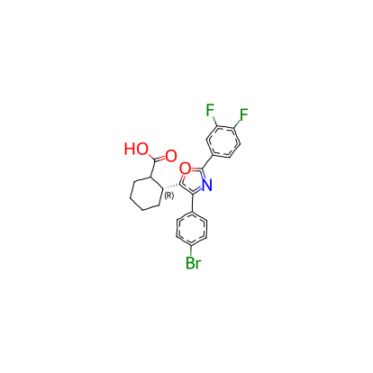 O=C(O)C1CCCC[C@H]1c1oc(-c2ccc(F)c(F)c2)nc1-c1ccc(Br)cc1